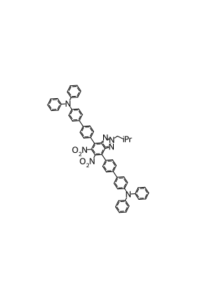 CC(C)Cn1nc2c(-c3ccc(-c4ccc(N(c5ccccc5)c5ccccc5)cc4)cc3)c([N+](=O)[O-])c([N+](=O)[O-])c(-c3ccc(-c4ccc(N(c5ccccc5)c5ccccc5)cc4)cc3)c2n1